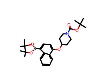 CC(C)(C)OC(=O)N1CCC(Oc2ccc(B3OC(C)(C)C(C)(C)O3)c3ccccc23)CC1